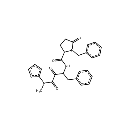 CN(C(=O)C(=O)C(Cc1ccccc1)NC(=O)C1CCC(=O)N1Cc1ccccc1)c1cccs1